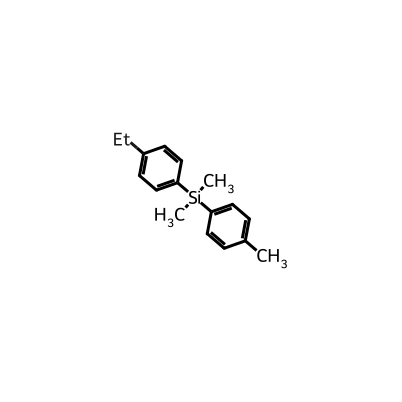 CCc1ccc([Si](C)(C)c2ccc(C)cc2)cc1